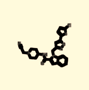 N#CCN1CCC(NC(=O)c2cc3ccccc3n2Cc2cc(-c3ccc(Cl)s3)on2)CC1